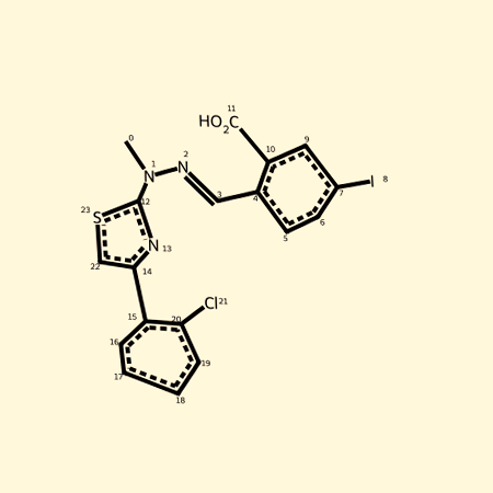 CN(/N=C/c1ccc(I)cc1C(=O)O)c1nc(-c2ccccc2Cl)cs1